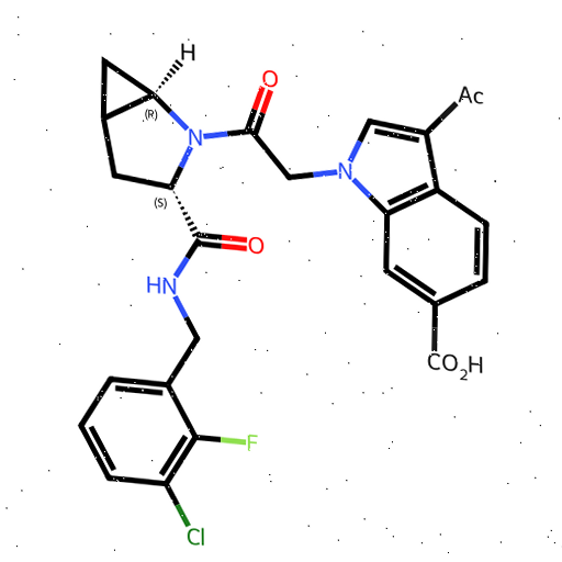 CC(=O)c1cn(CC(=O)N2[C@@H]3CC3C[C@H]2C(=O)NCc2cccc(Cl)c2F)c2cc(C(=O)O)ccc12